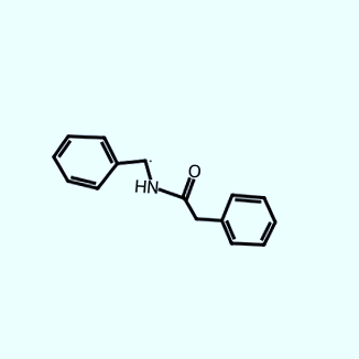 O=C(Cc1ccccc1)N[CH]c1ccccc1